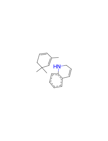 C1=Cc2ccccc2NC1.CC1=CC(C)(C)CC=C1